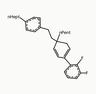 CCCCCCCc1ccc(CCC2(CCCCC)C=CC(c3cccc(F)c3F)=CC2)cc1